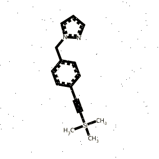 C[Si](C)(C)C#Cc1ccc(Cn2cccn2)cc1